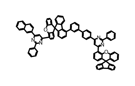 c1ccc(-c2nc(-c3ccc(-c4cccc(-c5cccc6c5-c5ccccc5C65c6ccccc6Oc6c(-c7cc(-c8ccc9ccccc9c8)nc(-c8ccccc8)n7)cccc65)c4)cc3)cc(-c3cccc4c3Oc3ccccc3C43c4ccccc4-c4ccccc43)n2)cc1